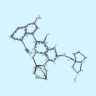 C#Cc1cccc2cc(O)cc(-c3nc(CCF)c4c(N5CC6CCCC5CN6)nc(OC[C@@]56CCCN5C[C@H](F)C6)nc4c3F)c12